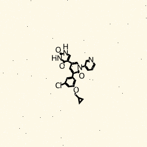 O=c1[nH]cc(-c2cc(-c3cc(Cl)cc(OCC4CC4)c3)c(=O)n(-c3cccnc3)c2)c(=O)[nH]1